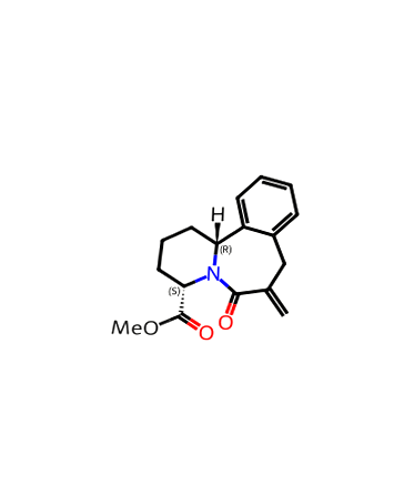 C=C1Cc2ccccc2[C@H]2CCC[C@@H](C(=O)OC)N2C1=O